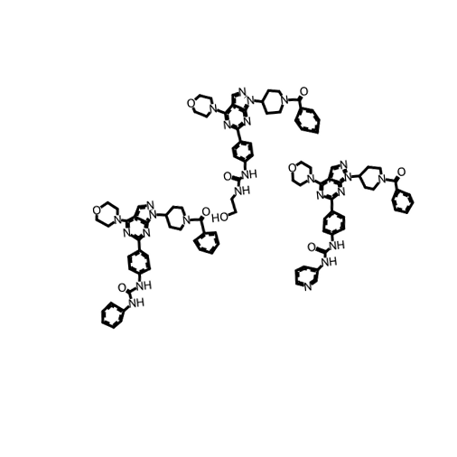 O=C(NCCO)Nc1ccc(-c2nc(N3CCOCC3)c3cnn(C4CCN(C(=O)c5ccccc5)CC4)c3n2)cc1.O=C(Nc1ccc(-c2nc(N3CCOCC3)c3cnn(C4CCN(C(=O)c5ccccc5)CC4)c3n2)cc1)Nc1cccnc1.O=C(Nc1ccccc1)Nc1ccc(-c2nc(N3CCOCC3)c3cnn(C4CCN(C(=O)c5ccccc5)CC4)c3n2)cc1